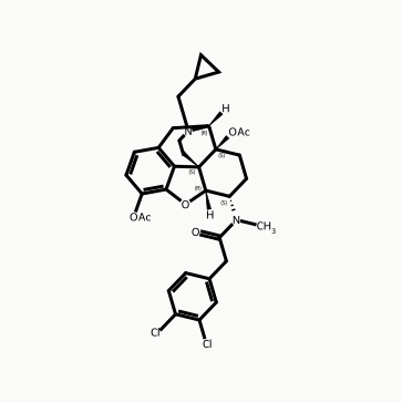 CC(=O)Oc1ccc2c3c1O[C@H]1[C@@H](N(C)C(=O)Cc4ccc(Cl)c(Cl)c4)CC[C@@]4(OC(C)=O)[C@@H](C2)N(CC2CC2)CC[C@]314